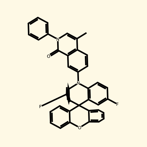 Cc1cn(-c2ccccc2)c(=O)c2cc(N3c4ccc(F)cc4C4(c5ccccc5Oc5ccccc54)c4cc(F)ccc43)ccc12